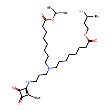 CCCCC(CCCC)CCOC(=O)CCCCCCCN(CCCCCCCC(=O)OC(CCCC)CCCC)CCCNc1c(NC)c(=O)c1=O